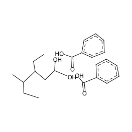 CCC(C)C(CC)CC(O)O.O=C(O)c1ccccc1.O=C(O)c1ccccc1